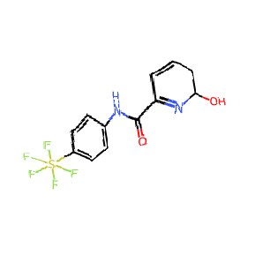 O=C(Nc1ccc(S(F)(F)(F)(F)F)cc1)C1=NC(O)CC=C1